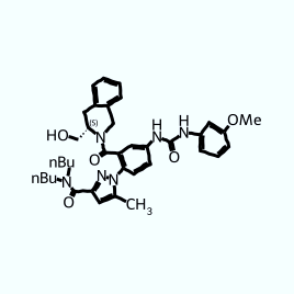 CCCCN(CCCC)C(=O)c1cc(C)n(-c2ccc(NC(=O)Nc3cccc(OC)c3)cc2C(=O)N2Cc3ccccc3C[C@H]2CO)n1